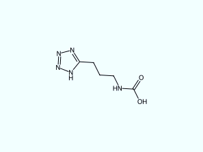 O=C(O)NCCCc1nnn[nH]1